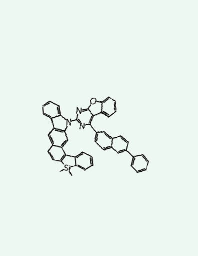 C[Si]1(C)c2ccccc2-c2c1ccc1cc3c4ccccc4n(-c4nc(-c5ccc6cc(-c7ccccc7)ccc6c5)c5c(n4)oc4ccccc45)c3cc21